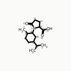 CC(C)C1CCC(C)C(N2C(=O)CCC2C(=O)O)C1